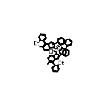 CCc1ccccc1-c1c(C)ccc2c1C=C(c1ccccc1)[CH]2[Zr]([Cl])([Cl])([c]1cccc2c1[SiH2]c1ccccc1-2)[CH]1C(c2ccccc2)=Cc2c1ccc(C)c2-c1ccccc1CC